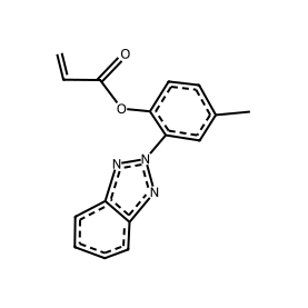 C=CC(=O)Oc1ccc(C)cc1-n1nc2ccccc2n1